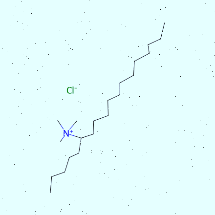 CCCCCCCCCCCCC(CCCCC)[N+](C)(C)C.[Cl-]